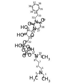 CCN(CC)CCCCN(CC)COP(=O)(O)OP(=O)(O)OCC1OC(n2ccc(=O)n(CCc3ccccc3)c2=O)[C@@H](O)C1O